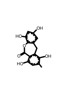 Cc1cc(O)c2c(c1O)Cc1cc(O)cc(O)c1OC2=O